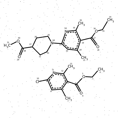 CCOC(=O)c1c(C)cc(Cl)nc1C.CCOC(=O)c1c(C)cc(N2CCC(C(=O)OC)CC2)nc1C